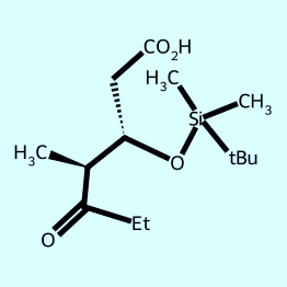 CCC(=O)[C@@H](C)[C@H](CC(=O)O)O[Si](C)(C)C(C)(C)C